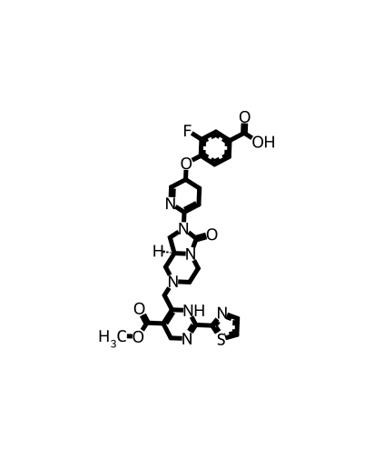 COC(=O)C1=C(CN2CCN3C(=O)N(C4=CCC(Oc5ccc(C(=O)O)cc5F)C=N4)C[C@@H]3C2)NC(c2nccs2)=NC1